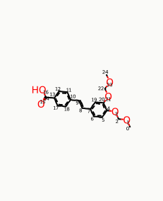 COCOc1ccc(C=Cc2ccc(C(=O)O)cc2)cc1OCOC